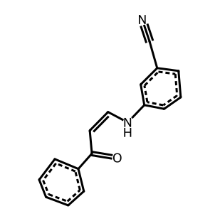 N#Cc1cccc(N/C=C\C(=O)c2ccccc2)c1